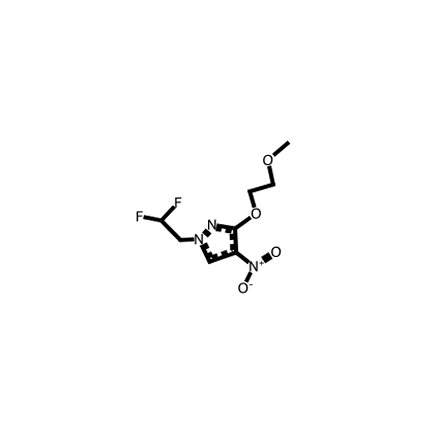 COCCOc1nn(CC(F)F)cc1[N+](=O)[O-]